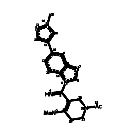 CNC1=C(C(=N)n2cnc3cc(-c4cnn(C)c4)ccc32)CN(C(C)=O)CC1